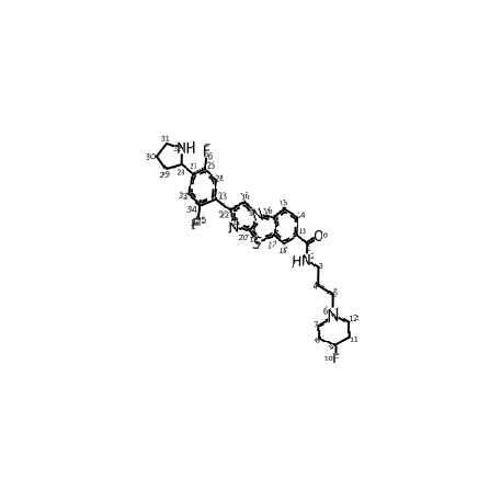 O=C(NCCCN1CCC(F)CC1)c1ccc2c(c1)sc1nc(-c3cc(F)c(C4CCCN4)cc3F)cn12